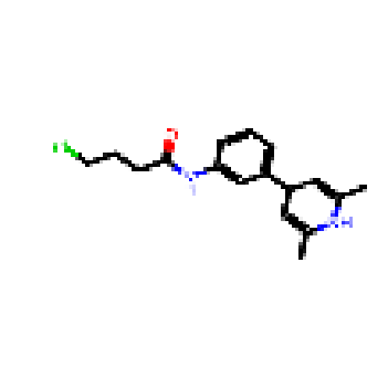 CC1=CC(c2cccc(NC(=O)CCCCl)c2)C=C(C)N1